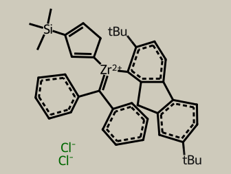 CC(C)(C)c1ccc2c(c1)Cc1c-2ccc(C(C)(C)C)[c]1[Zr+2]([C]1=CC([Si](C)(C)C)=CC1)=[C](c1ccccc1)c1ccccc1.[Cl-].[Cl-]